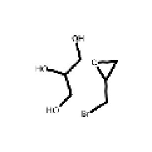 BrCC1CO1.OCC(O)CO